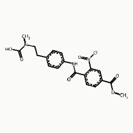 COC(=O)c1ccc(C(=O)Nc2ccc(CCN(C)C(=O)O)cc2)c([N+](=O)[O-])c1